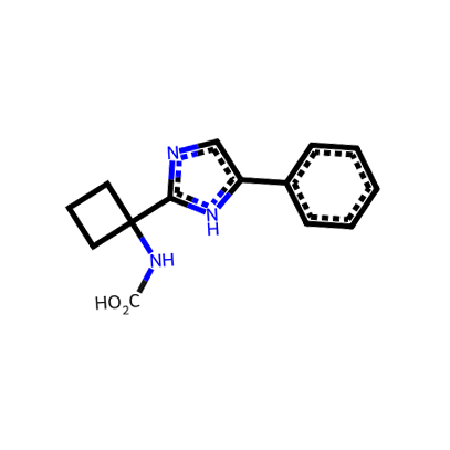 O=C(O)NC1(c2ncc(-c3ccccc3)[nH]2)CCC1